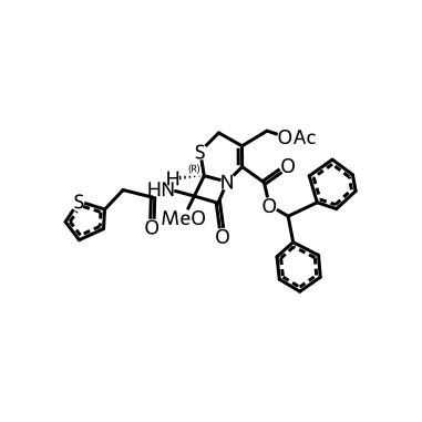 COC1(NC(=O)Cc2cccs2)C(=O)N2C(C(=O)OC(c3ccccc3)c3ccccc3)=C(COC(C)=O)CS[C@@H]21